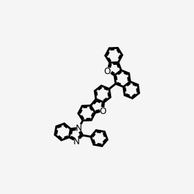 c1ccc(-c2nc3ccccc3n2-c2ccc3c(c2)oc2cc(-c4c5ccccc5cc5c4oc4ccccc45)ccc23)cc1